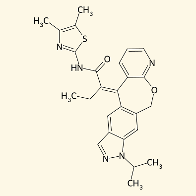 CC/C(C(=O)Nc1nc(C)c(C)s1)=C1\c2cc3cnn(C(C)C)c3cc2COc2ncccc21